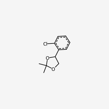 CC1(C)OCC(c2ccccc2Cl)O1